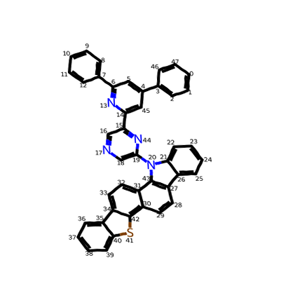 c1ccc(-c2cc(-c3ccccc3)nc(-c3cncc(-n4c5ccccc5c5ccc6c(ccc7c8ccccc8sc76)c54)n3)c2)cc1